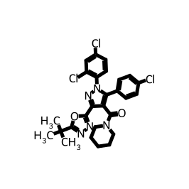 CC(C)(C)c1nnc(-c2nn(-c3ccc(Cl)cc3Cl)c(-c3ccc(Cl)cc3)c2C(=O)N2CCCCC2)o1